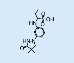 CCC(Nc1cccc(N2CC(C)(C)C(=O)N2)c1)S(=O)(=O)O